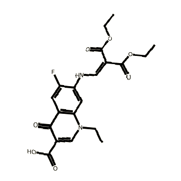 CCOC(=O)C(=CNc1cc2c(cc1F)c(=O)c(C(=O)O)cn2CC)C(=O)OCC